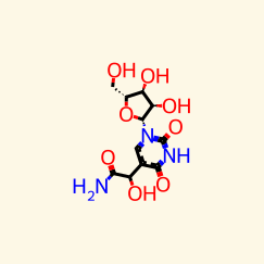 NC(=O)C(O)c1cn([C@@H]2O[C@H](CO)[C@@H](O)[C@H]2O)c(=O)[nH]c1=O